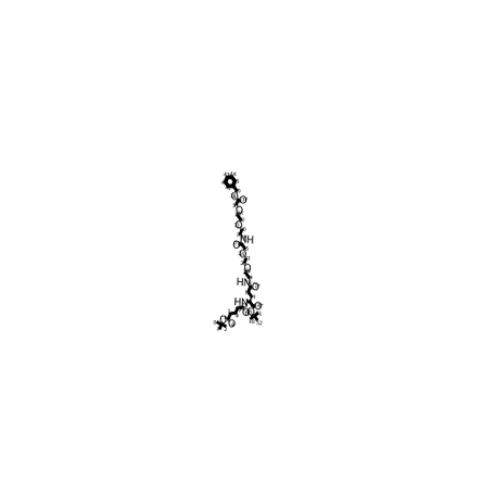 CC(C)(C)OC(=O)CCCC(=O)N[C@@H](CCC(=O)NCCOCCOCC(=O)NCCOCCOCC(=O)OCc1ccccc1)C(=O)OC(C)(C)C